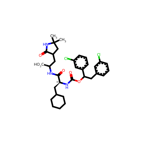 CC1(C)CC(CC(NC(=O)[C@H](CC2CCCCC2)NC(=O)OC(Cc2cccc(Cl)c2)c2cccc(Cl)c2)C(=O)O)C(=O)N1